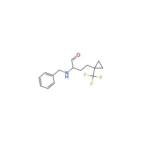 O=CC(CCC1(C(F)(F)F)CC1)NCc1ccccc1